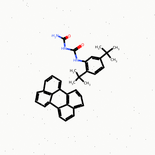 CC(C)(C)c1ccc(C(C)(C)C)c(NC(=O)NC(N)=O)c1.c1cc2cccc3c4cccc5cccc(c(c1)c23)c54